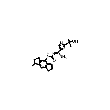 CC1CCc2c1cc1c(c2NC(=O)/N=S(\N)c2cnc(C(C)(C)O)s2)CCC1